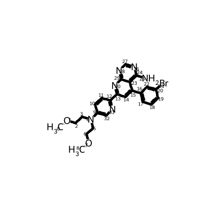 COCCN(CCOC)c1ccc(-c2cc(-c3cccc(Br)c3)c3c(N)ncnc3n2)nc1